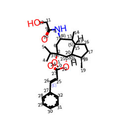 CO[C@@]1(C(C)C)C[C@@H](NC(=O)CO)C(C)[C@@H]2CC[C@@H](C)[C@H]2[C@@H]1OC(=O)/C=C/c1ccccc1